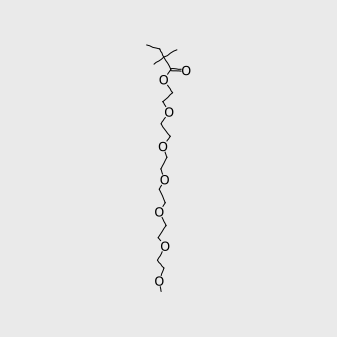 CCC(C)(C)C(=O)OCCOCCOCCOCCOCCOCCOC